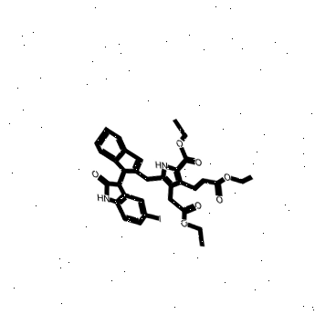 CCOC(=O)CCc1c(C(=O)OCC)[nH]c(CC2=Cc3ccccc3C2C2C(=O)Nc3ccc(I)cc32)c1CC(=O)OCC